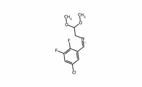 COC(C/N=C\c1cc(Cl)cc(F)c1F)OC